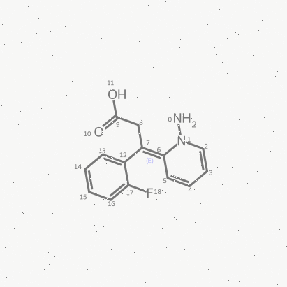 NN1C=CC=C/C1=C(/CC(=O)O)c1ccccc1F